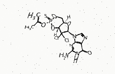 CC(C)O[P@]1(=S)OC[C@H]2O[C@@H](n3cnc4c(=O)[nH]c(N)nc43)C(Cl)(Cl)[C@@H]2O1